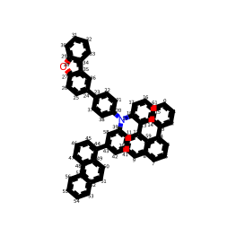 c1ccc(-c2cccc3cccc(-c4ccccc4N(c4ccc(-c5ccc6oc7ccccc7c6c5)cc4)c4cccc(-c5cccc6c5ccc5ccccc56)c4)c23)cc1